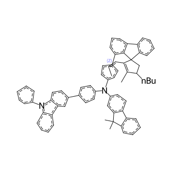 C/C=C\C1=C(C)C(CCCC)CC12c1ccccc1-c1cccc(-c3ccc(N(c4ccc(-c5ccc6c(c5)c5ccccc5n6-c5ccccc5)cc4)c4ccc5c(c4)C(C)(C)c4ccccc4-5)cc3)c12